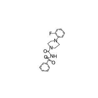 O=C(NS(=O)(=O)c1ccccc1)N1CCN(c2ccccc2F)CC1